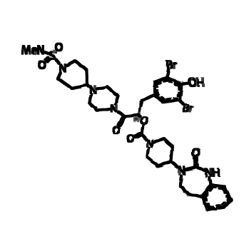 CNS(=O)(=O)N1CCC(N2CCN(C(=O)[C@@H](Cc3cc(Br)c(O)c(Br)c3)OC(=O)N3CCC(N4CCc5ccccc5NC4=O)CC3)CC2)CC1